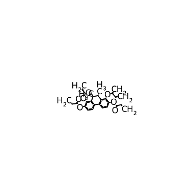 C=CC(=C)Oc1c(OC(=O)C=C)ccc2c1C(C)C(C)c1c-2ccc(OC(=O)C=C)c1OC(=O)C=C